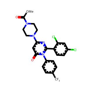 COC(=O)N1CCN(c2cc(=O)n(-c3ccc(C(F)(F)F)cc3)c(-c3ccc(Cl)cc3Cl)n2)CC1